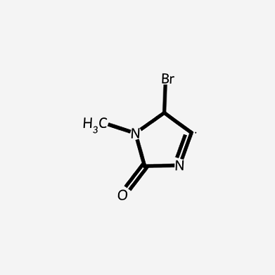 CN1C(=O)N=[C]C1Br